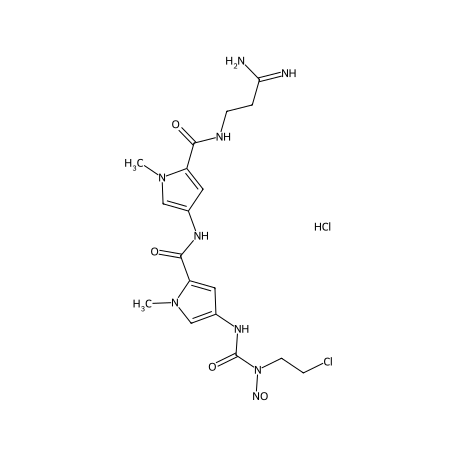 Cl.Cn1cc(NC(=O)c2cc(NC(=O)N(CCCl)N=O)cn2C)cc1C(=O)NCCC(=N)N